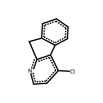 Clc1ccnc2c1-c1ccccc1C2